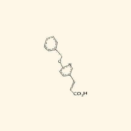 O=C(O)C=Cc1ccc(OCc2ccccc2)nc1